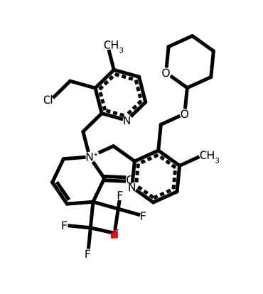 Cc1ccnc(C[N+]2(Cc3nccc(C)c3COC3CCCCO3)CC=CC(C(F)(F)F)(C(F)(F)F)C2=O)c1CCl